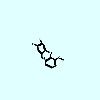 COc1ccccc1Oc1cc(F)c(F)cc1N